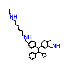 C=CNCCCC/C=C/CNCc1ccc(/C(C2=CC(C=N)=C(C)CC2)=C(\c2ccccc2)C2CCC2)cc1